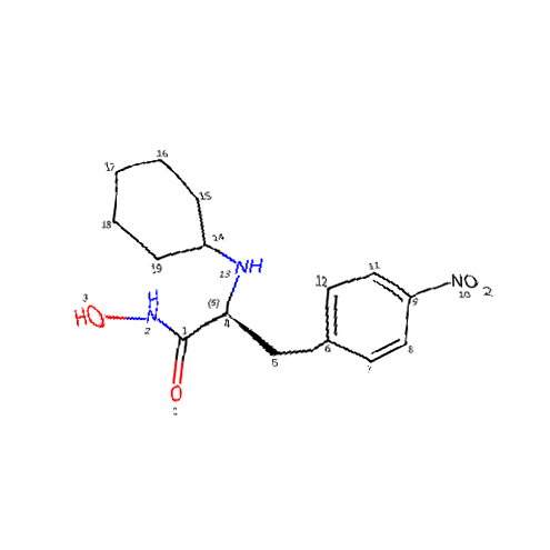 O=C(NO)[C@H](Cc1ccc([N+](=O)[O-])cc1)NC1CCCCC1